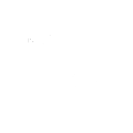 CC(C)CC(OCCCC(=O)NI)C(C)C